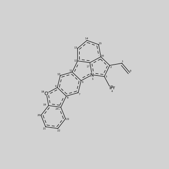 C=Cc1c(C(C)C)n2c3cc4c(cc3c3cccc1c32)oc1ccccc14